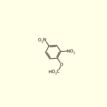 O=C(O)Oc1ccc([N+](=O)[O-])cc1[N+](=O)[O-]